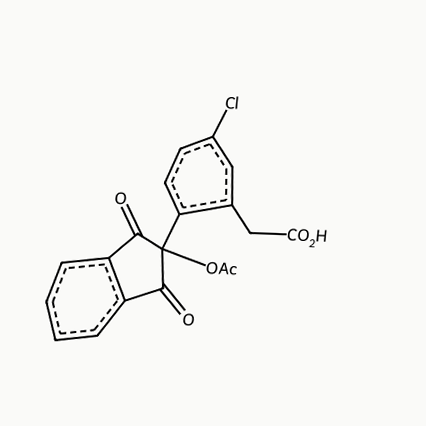 CC(=O)OC1(c2ccc(Cl)cc2CC(=O)O)C(=O)c2ccccc2C1=O